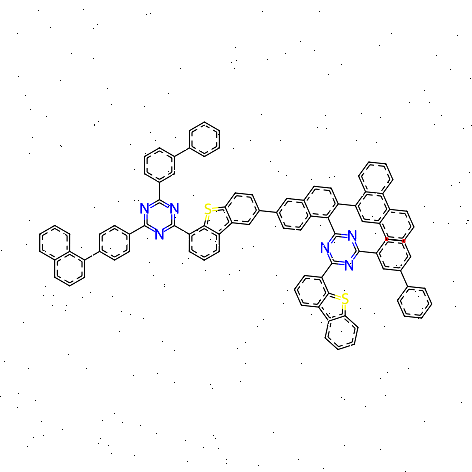 c1ccc(-c2cccc(-c3nc(-c4ccc(-c5cccc6ccccc56)cc4)nc(-c4cccc5c4sc4ccc(-c6ccc7c(-c8nc(-c9cccc(-c%10ccccc%10)c9)nc(-c9cccc%10c9sc9ccccc9%10)n8)c(-c8cc9ccccc9c9ccccc89)ccc7c6)cc45)n3)c2)cc1